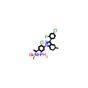 C=C(N[S+](C)[O-])c1cc(Cl)c(-n2nc(-c3ccc(Cl)cc3F)c3c2=CCC(C)C=3)cc1P